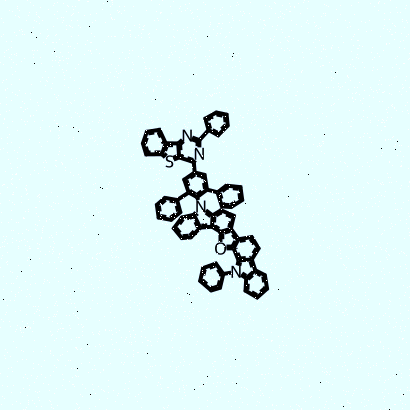 c1ccc(-c2nc(-c3cc(-c4ccccc4)c(-n4c5ccccc5c5c6oc7c(ccc8c9ccccc9n(-c9ccccc9)c87)c6ccc54)c(-c4ccccc4)c3)c3sc4ccccc4c3n2)cc1